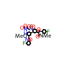 CNC(=O)c1c(-c2ccc(F)cc2)oc2cc(N(CC3COC(=O)N3)S(C)(=O)=O)c(-c3ccc(OC)c(-c4nc5c(F)cccc5o4)c3)cc12